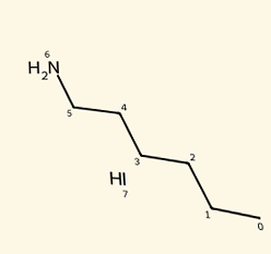 CCCCCCN.I